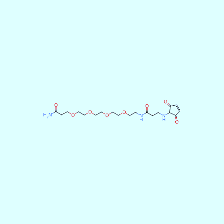 NC(=O)CCOCCOCCOCCOCCNC(=O)CCNC1C(=O)C=CC1=O